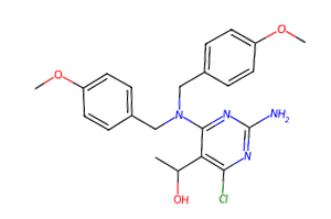 COc1ccc(CN(Cc2ccc(OC)cc2)c2nc(N)nc(Cl)c2C(C)O)cc1